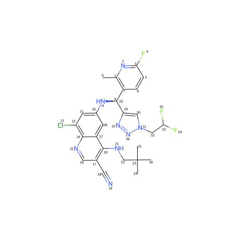 Cc1nc(F)ccc1[C@H](Nc1cc(Cl)c2ncc(C#N)c(NCC(C)(C)C)c2c1)c1cn(CC(F)F)nn1